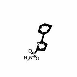 NS(=O)(=O)c1ccc(-c2ccccc2)s1